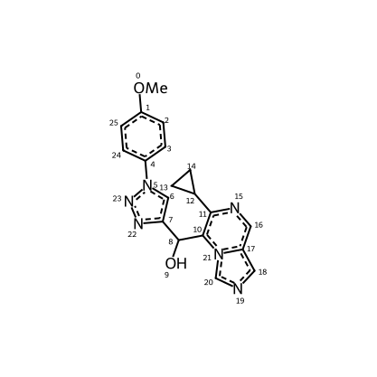 COc1ccc(-n2cc(C(O)c3c(C4CC4)ncc4cncn34)nn2)cc1